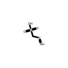 N=NCS(=O)(=O)O